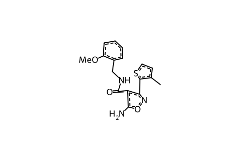 COc1ccccc1CNC(=O)c1c(-c2sccc2C)noc1N